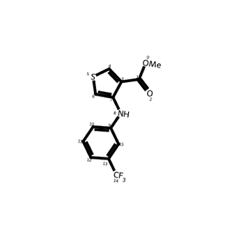 COC(=O)c1cscc1Nc1cccc(C(F)(F)F)c1